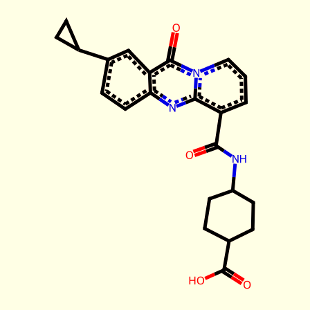 O=C(NC1CCC(C(=O)O)CC1)c1cccn2c(=O)c3cc(C4CC4)ccc3nc12